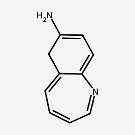 NC1=CC=C2N=CC=CC=C2C1